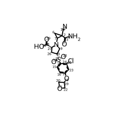 N#CC1(C(N)=O)CC1N1C[C@H](S(=O)(=O)c2ccc(OC3COC3)cc2Cl)C[C@H]1C(=O)O